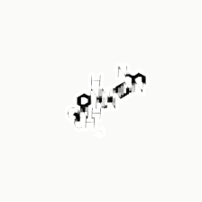 CC(=O)Nc1cccc(Nc2ncnc(N3CCN(c4ncccc4C#N)CC3)n2)c1